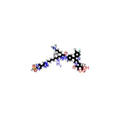 CC[C@@]1(O)C(=O)OCc2c1cc1n(c2=O)Cc2c-1nc1cc(F)c(C)cc1c2-c1ccc(NC(=O)[C@H](CCCCN(C)C)C(N)[C@@H](C(C)C)C(N)CCCCCn2cc(-c3cnc(S(C)(=O)=O)nc3)nn2)cc1